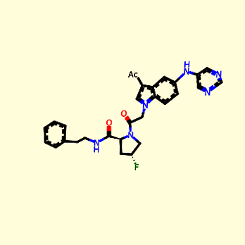 CC(=O)c1cn(CC(=O)N2C[C@H](F)C[C@H]2C(=O)NCCc2ccccc2)c2ccc(Nc3cncnc3)cc12